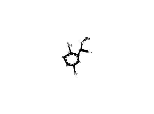 CC(C)(C)OC(=O)c1cc(Br)ccc1S